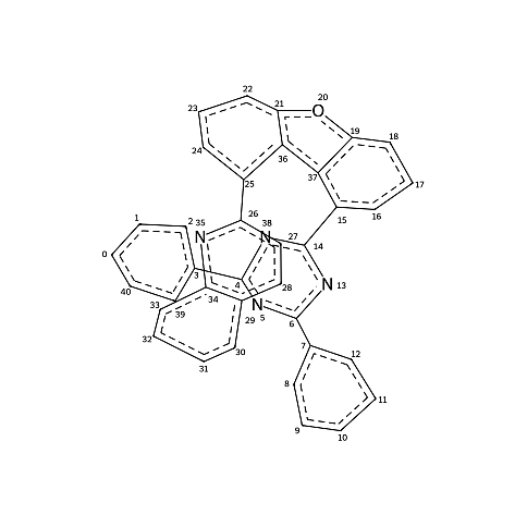 c1ccc(-c2nc(-c3ccccc3)nc(-c3cccc4oc5cccc(-c6ccc7ccccc7n6)c5c34)n2)cc1